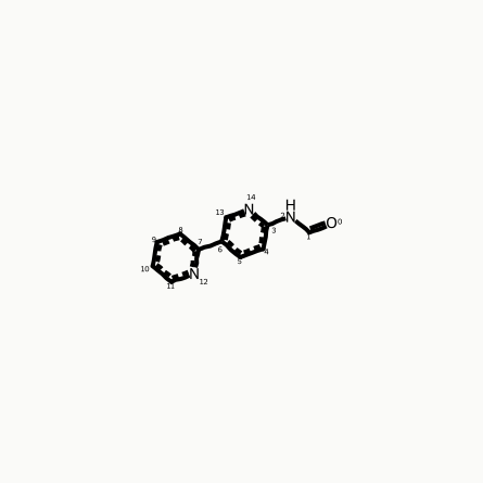 O=CNc1ccc(-c2ccccn2)cn1